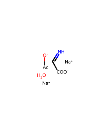 CC(=O)[O-].N=CC(=O)[O-].O.[Na+].[Na+]